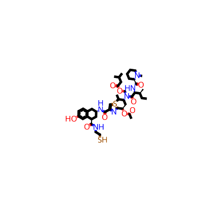 CC[C@H](C)[C@H](NC(=O)[C@H]1CCCCN1C)C(=O)N(COC(=O)CC(C)C)C(C[C@@H](OC(C)=O)c1nc(C(=O)N[C@H]2Cc3ccc(O)cc3[C@H](C(=O)NCCS)C2)cs1)C(C)C